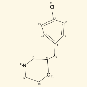 Clc1ccc(CC2C[N]CCO2)cc1